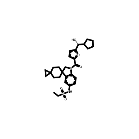 CCS(=O)(=O)Nc1ccc2c(c1)C1(CCC3(CC3)CC1)CN2C(=O)c1ccc([C@H](O)C2CCCC2)o1